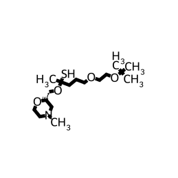 CN1CCO[C@H](COC(C)(S)CCCOCCOC(C)(C)C)C1